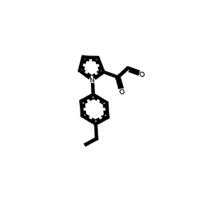 CCc1ccc(-n2cccc2C(=O)C=O)cc1